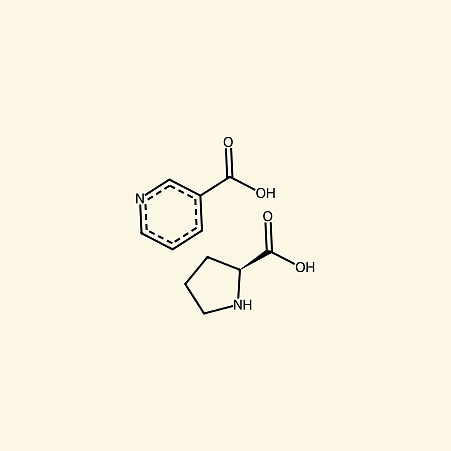 O=C(O)[C@@H]1CCCN1.O=C(O)c1cccnc1